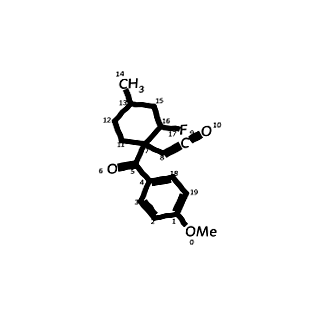 COc1ccc(C(=O)C2(C=C=O)CCC(C)CC2F)cc1